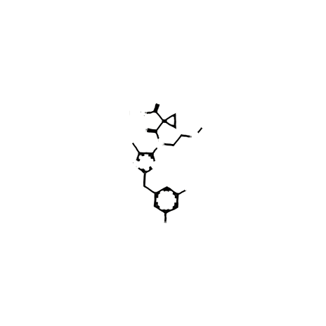 COCCN(C(=O)C1(C(N)=O)CC1)c1sc(Cc2cc(F)cc(Cl)c2)nc1C